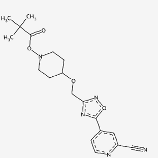 CC(C)(C)C(=O)ON1CCC(OCc2noc(-c3ccnc(C#N)c3)n2)CC1